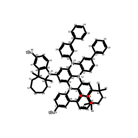 CC(C)(C)c1ccc(N2c3cc4c(cc3B3c5ccc(-c6ccccc6)cc5N(c5cccc(-c6ccccc6)c5)c5cc(N6c7ccc(C(C)(C)C)cc7C7(C)CCCCCC67C)cc2c53)C(C)(C)CCC4(C)C)c(-c2ccccc2)c1